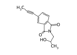 CC#Cc1ccc2c(c1)C(=O)N(CC(C)O)C2=O